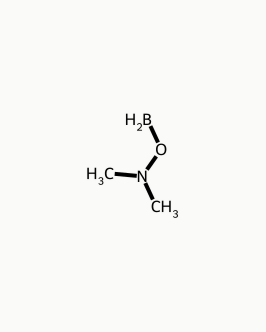 BON(C)C